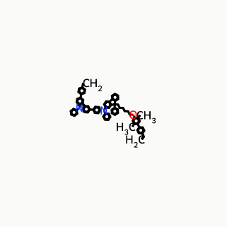 C=Cc1ccc(-c2ccc3c(c2)c2cc(-c4ccc(N(c5ccccc5)c5ccc6c(c5)C(CCCCCCOc5cc(C)c(-c7ccc(C=C)cc7)cc5C)(c5ccccc5)c5ccccc5-6)cc4)ccc2n3-c2ccccc2)cc1